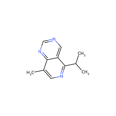 Cc1cnc(C(C)C)c2cncnc12